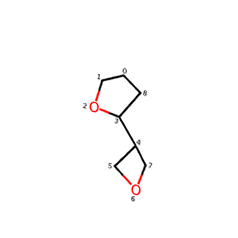 C1COC(C2COC2)C1